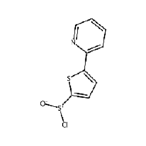 [O-][S+](Cl)c1ccc(-c2ccccn2)s1